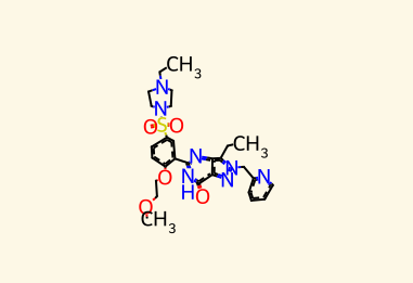 CCc1c2nc(-c3cc(S(=O)(=O)N4CCN(CC)CC4)ccc3OCCOC)[nH]c(=O)c2nn1Cc1ccccn1